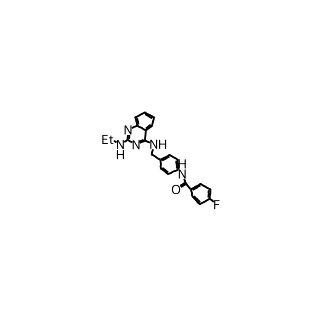 CCNc1nc(NCc2ccc(NC(=O)c3ccc(F)cc3)cc2)c2ccccc2n1